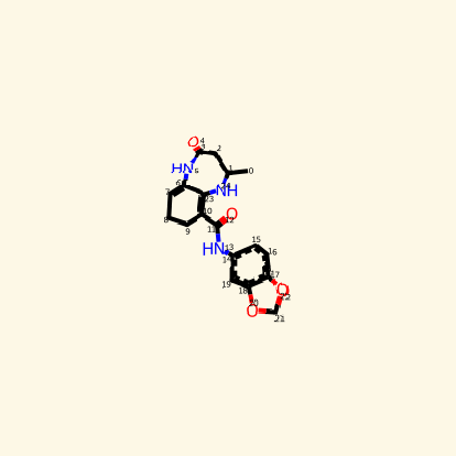 CC1CC(=O)NC2=CCCC(C(=O)Nc3ccc4c(c3)OCO4)=C2N1